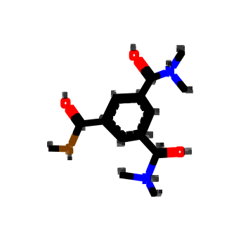 CSC(=O)c1cc(C(=O)N(C)C)cc(C(=O)N(C)C)c1